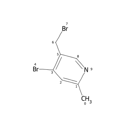 Cc1cc(Br)c(CBr)cn1